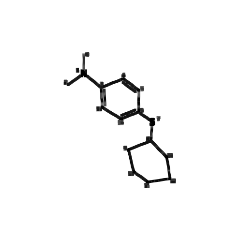 CN(C)c1ccc(SC2CCCCC2)cc1